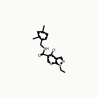 CCn1ncc2c(Cl)c(C(=O)NCc3ccc(C)cc3C)cnc21